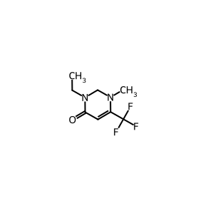 CCN1CN(C)C(C(F)(F)F)=CC1=O